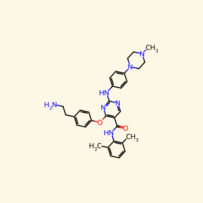 Cc1cccc(C)c1NC(=O)c1cnc(Nc2ccc(N3CCN(C)CC3)cc2)nc1Oc1ccc(CCN)cc1